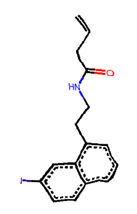 C=CCC(=O)NCCc1cccc2ccc(I)cc12